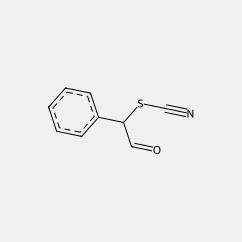 N#CSC(C=O)c1ccccc1